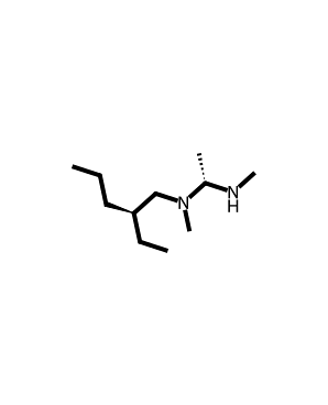 CCC[C@H](CC)CN(C)[C@H](C)NC